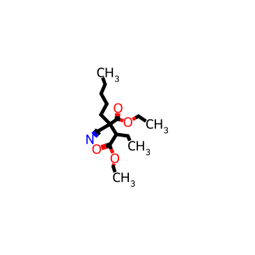 CCCCCC(C#N)(C(=O)OCC)C(CC)C(=O)OCC